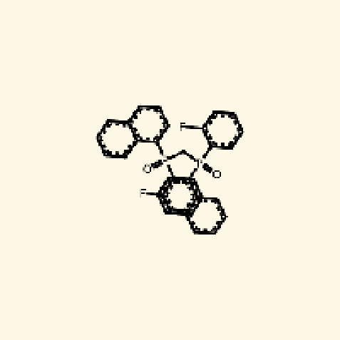 O=P(CP(=O)(c1ccccc1F)c1cccc2ccccc12)(c1ccccc1F)c1cccc2ccccc12